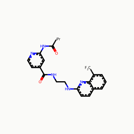 CC(C)C(=O)Nc1cc(C(=O)NCCNc2ccc3cccc(C(F)(F)F)c3n2)ccn1